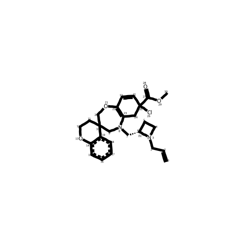 C=CCN1CC[C@H]1CN1CC2(CCOc3ccccc32)COC2=C1CC(Cl)(C(=O)OC)C=C2